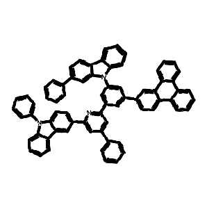 c1ccc(-c2cc(-c3cc(-c4ccc5c6ccccc6c6ccccc6c5c4)cc(-n4c5ccccc5c5ccc(-c6ccccc6)cc54)c3)nc(-c3ccc4c(c3)c3ccccc3n4-c3ccccc3)c2)cc1